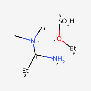 CCC(N)N(C)C.CCOS(=O)(=O)O